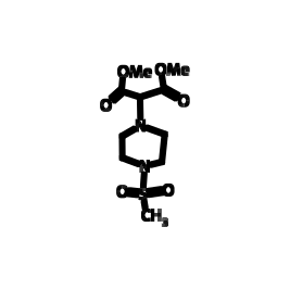 COC(=O)C(C(=O)OC)N1CCN(S(C)(=O)=O)CC1